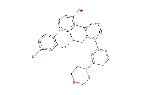 CC(=O)OC1Cc2c(-c3cc(N4CCOCC4)ccn3)cccc2-c2c(O)ccc(-c3ccc(Br)cc3)c21